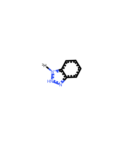 [2H][n+]1[nH]nc2ccccc21